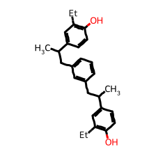 CCc1cc(C(C)Cc2cccc(CC(C)c3ccc(O)c(CC)c3)c2)ccc1O